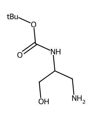 CC(C)(C)OC(=O)NC(CN)CO